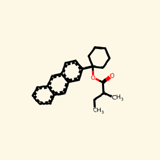 CCC(C)C(=O)OC1(c2ccc3cc4ccccc4cc3c2)CCCCC1